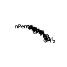 C=C(CO)C(=O)OCCCC1CCC(C2CCC(c3ccc(C4CCC(CCCCC)CC4)cc3C)CC2)CC1